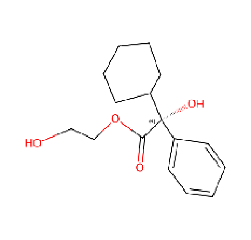 O=C(OCCO)[C@](O)(c1ccccc1)C1CCCCC1